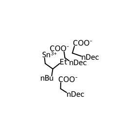 CCCCC(CC)[CH2][Sn+3].CCCCCCCCCCCC(=O)[O-].CCCCCCCCCCCC(=O)[O-].CCCCCCCCCCCC(=O)[O-]